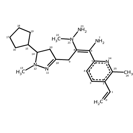 C=Cc1ccc(/C(N)=C(\CC2=NN(C)C(C3CCCC3)C2)N(C)N)nc1C